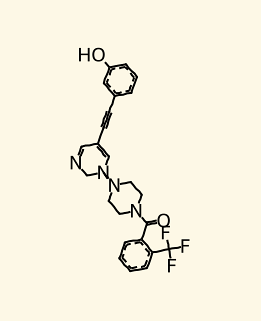 O=C(c1ccccc1C(F)(F)F)N1CCN(N2C=C(C#Cc3cccc(O)c3)C=NC2)CC1